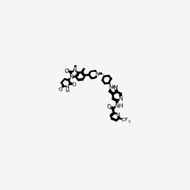 Cc1c(C2CCN(C[C@H]3CC[C@H](n4cc5cc(NC(=O)c6cccc(C(F)(F)F)n6)ncc5n4)CC3)CC2)ccc2c1n(C)c(=O)n2C1CCC(=O)NC1=O